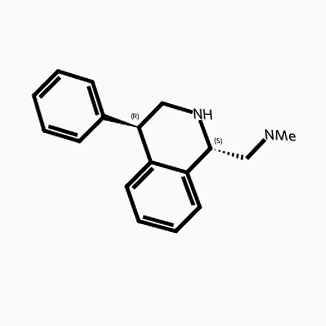 CNC[C@H]1NC[C@H](c2ccccc2)c2ccccc21